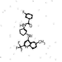 Cc1ccc2nc(C(F)(F)F)cc(N[C@@H]3C=C(NC(=O)c4cccc(F)c4)CCC3)c2c1